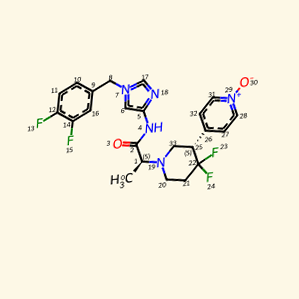 C[C@@H](C(=O)Nc1cn(Cc2ccc(F)c(F)c2)cn1)N1CCC(F)(F)[C@@H](c2cc[n+]([O-])cc2)C1